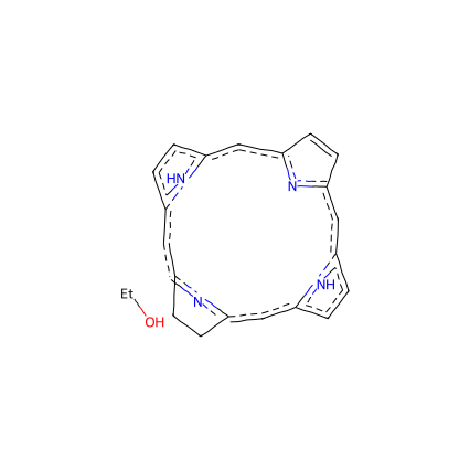 C1=Cc2cc3ccc(cc4nc(cc5ccc(cc1n2)[nH]5)CC4)[nH]3.CCO